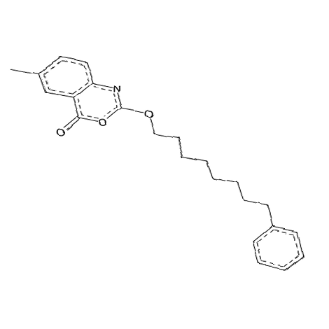 Cc1ccc2nc(OCCCCCCCCc3ccccc3)oc(=O)c2c1